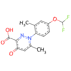 Cc1cc(OC(F)F)ccc1-n1nc(C(=O)O)c(=O)cc1C